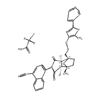 Cc1sc(-c2ccncc2)nc1OCC[C@@]12CC[C@@](C)(O1)[C@H]1C(=O)N(c3ccc(C#N)c4ccccc34)C(=O)[C@H]12.O=C(O)C(F)(F)F